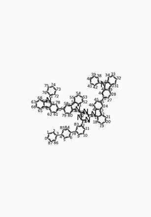 c1ccc(-c2ccc(-c3cccc(-c4nc(-n5c6ccccc6c6cc(-c7ccc8c9ccccc9n(-c9ccccc9)c8c7)ccc65)nc(-n5c6ccccc6c6cc(-c7ccc8c9ccccc9n(-c9ccccc9)c8c7)ccc65)n4)c3)cc2)cc1